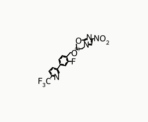 O=[N+]([O-])c1cn2c(n1)OC[C@@H](OCc1ccc(-c3ccc(C(F)(F)F)nc3)cc1F)C2